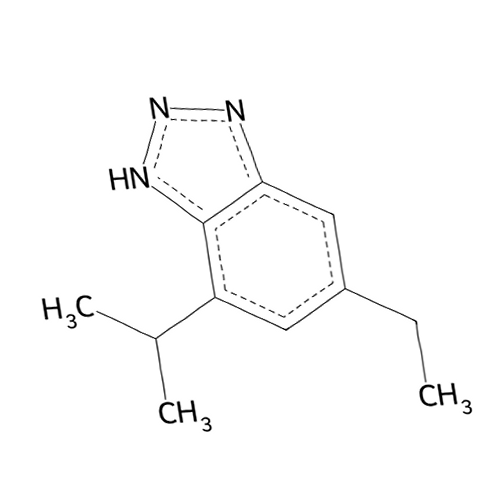 CCc1cc(C(C)C)c2[nH]nnc2c1